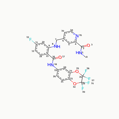 CNC(=O)c1cc(CNc2cc(F)ccc2C(=O)Nc2ccc3c(c2)OC(F)(F)C(F)(F)O3)ccn1